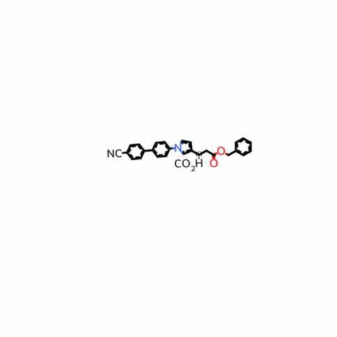 N#Cc1ccc(-c2ccc(-n3ccc([C@H](CC(=O)OCc4ccccc4)C(=O)O)c3)cc2)cc1